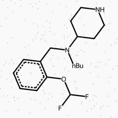 CCCCN(Cc1ccccc1OC(F)F)C1CCNCC1